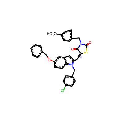 O=C(O)c1ccc(CN2C(=O)S/C(=C/c3cc4cc(OCc5ccccc5)ccc4n3Cc3ccc(Cl)cc3)C2=O)cc1